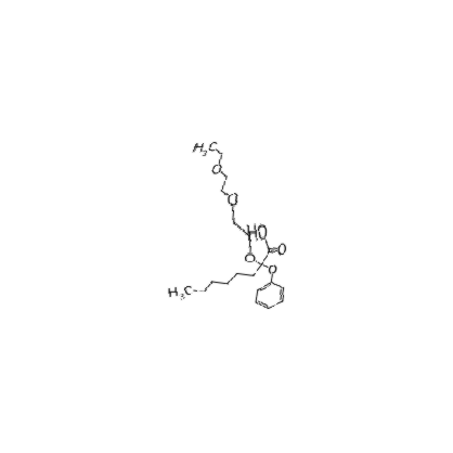 CCCCCCC(OCCOCCOCC)(Oc1ccccc1)C(=O)O